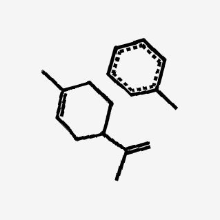 C=C(C)C1CC=C(C)CC1.Cc1ccccc1